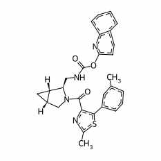 Cc1cccc(-c2sc(C)nc2C(=O)N2C[C@@H]3C[C@@H]3[C@H]2CNC(=O)Oc2ccc3ccccc3n2)c1